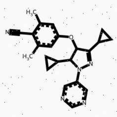 Cc1cc(OC2C(C3CC3)=NN(c3cncnc3)C2C2CC2)cc(C)c1C#N